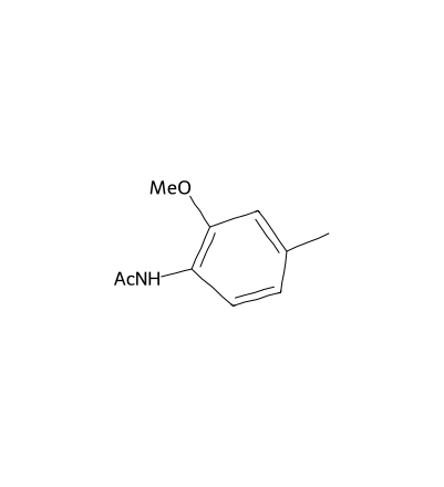 COc1cc(C)ccc1NC(C)=O